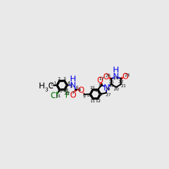 Cc1ccc(NC(=O)OCc2ccc3c(c2)C(=O)N(C2CCC(=O)NC2=O)C3)c(F)c1Cl